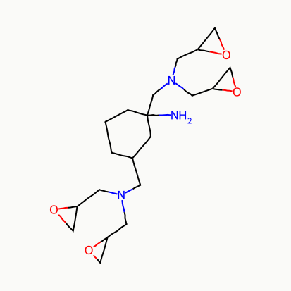 NC1(CN(CC2CO2)CC2CO2)CCCC(CN(CC2CO2)CC2CO2)C1